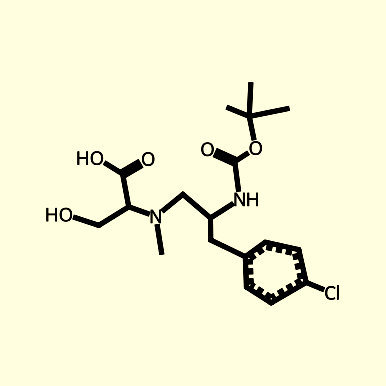 CN(CC(Cc1ccc(Cl)cc1)NC(=O)OC(C)(C)C)C(CO)C(=O)O